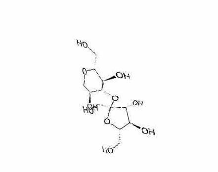 OC[C@@H]1O[C@@](CO)(O[C@H]2[C@H](O)[C@@H](CO)OC[C@@H]2O)[C@H](O)[C@H]1O